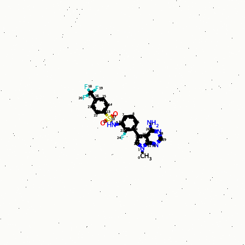 Cn1cc(-c2cccc(NS(=O)(=O)c3ccc(C(F)(F)F)cc3)c2F)c2c(N)ncnc21